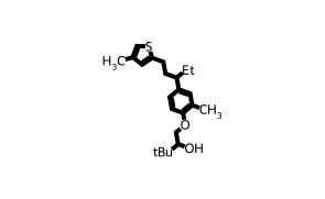 CCC(CCc1cc(C)cs1)c1ccc(OCC(O)C(C)(C)C)c(C)c1